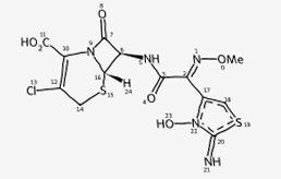 CON=C(C(=O)N[C@@H]1C(=O)N2C(C(=O)O)=C(Cl)CS[C@@H]12)c1csc(=N)n1O